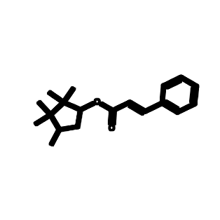 CC1CC(OC(=O)/C=C/c2ccccc2)C(C)(C)C1(C)C